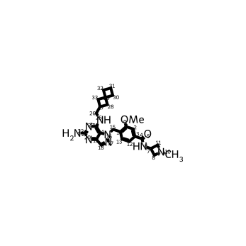 COc1cc(C(=O)NC2CN(C)C2)ccc1Cn1ncc2nc(N)nc(NCC3CC4(CCC4)C3)c21